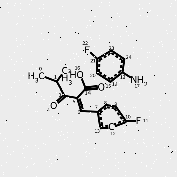 CC(C)C(=O)C(=Cc1ccc(F)cc1)C(=O)O.Nc1ccc(F)cc1